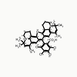 CC1=CC(C)(C)N2CCCc3c4c(cc1c32)C(c1c(Cl)c(Cl)c(Cl)c(Cl)c1C(=O)O)=c1cc2c3c(c1O4)CCC[N+]=3C(C)(C)C=C2C